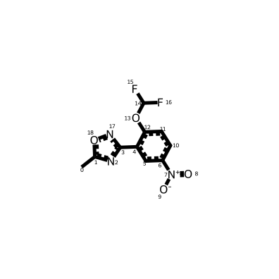 Cc1nc(-c2cc([N+](=O)[O-])ccc2OC(F)F)no1